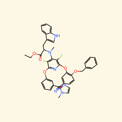 CCOC(=O)C(Cc1c[nH]c2ccccc12)N(C)c1c(F)c(Oc2cccc(-c3nccn3C)c2)nc(Oc2cc(C#N)ccc2OCc2ccccc2)c1F